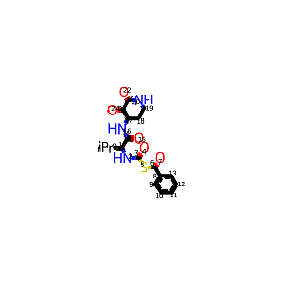 CC(C)C(NC(=O)SC(=O)c1ccccc1)C(=O)NC1CCNC(=O)C1=O